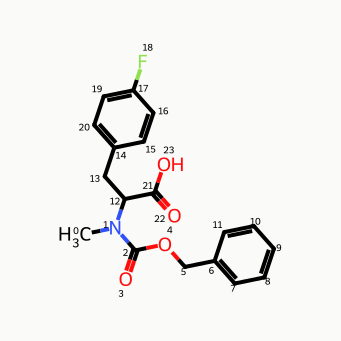 CN(C(=O)OCc1ccccc1)C(Cc1ccc(F)cc1)C(=O)O